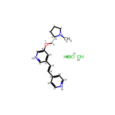 CN1CCC[C@H]1COc1cncc(C=Cc2ccncc2)c1.Cl.Cl.Cl